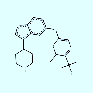 CC1CC(Nc2ccc3[nH]cc(C4CCNCC4)c3c2)=CN=C1C(F)(F)F